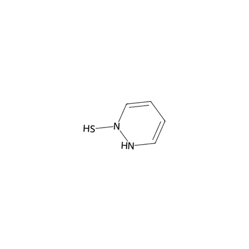 SN1C=CC=CN1